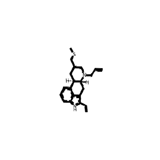 C=CCN1CC(CSC)C[C@@H]2c3cccc4[nH]c(C=C)c(c34)C[C@H]21